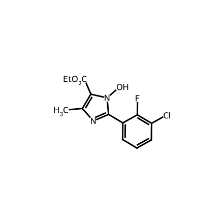 CCOC(=O)c1c(C)nc(-c2cccc(Cl)c2F)n1O